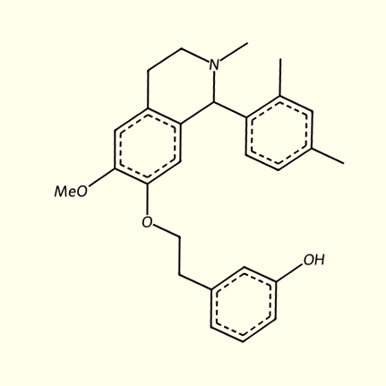 COc1cc2c(cc1OCCc1cccc(O)c1)C(c1ccc(C)cc1C)N(C)CC2